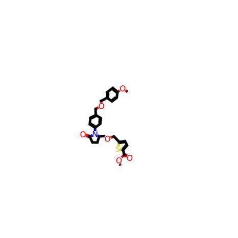 COC(=O)c1ccc(COCC2CCC(=O)N2c2ccc(COCc3ccc(OC)cc3)cc2)s1